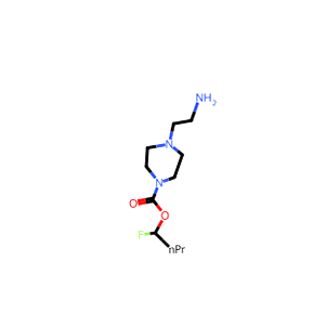 CCCC(F)OC(=O)N1CCN(CCN)CC1